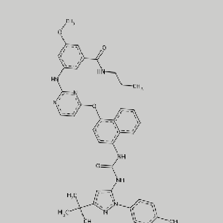 CCCNC(=O)c1cc(Nc2nccc(Oc3ccc(NC(=O)Nc4cc(C(C)(C)C)nn4-c4ccc(C)cc4)c4ccccc34)n2)cc(OC)c1